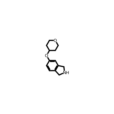 c1cc2c(cc1OC1CCOCC1)CNC2